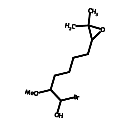 COC(CCCCC1OC1(C)C)C(O)Br